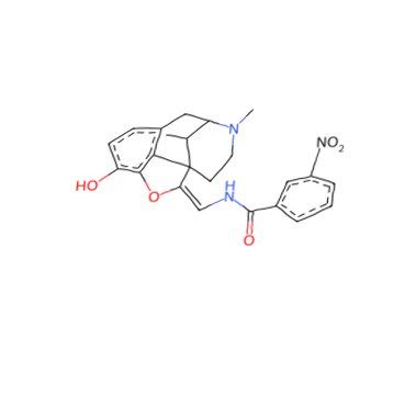 CC1C2Cc3ccc(O)c4c3C1(CCN2C)/C(=C\NC(=O)c1cccc([N+](=O)[O-])c1)O4